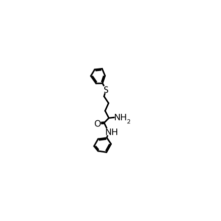 NC(CCCSc1ccccc1)C(=O)Nc1ccccc1